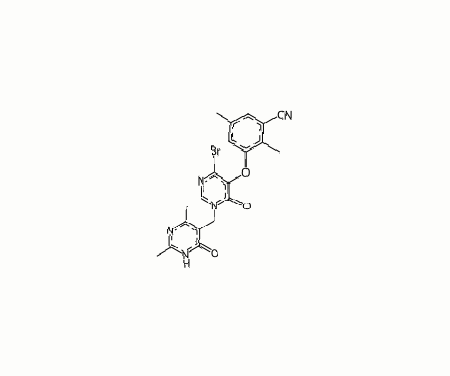 Cc1cc(C#N)c(C)c(Oc2c(Br)ncn(Cc3c(C)nc(C)[nH]c3=O)c2=O)c1